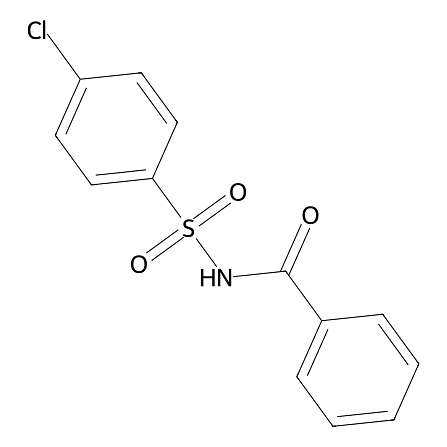 O=C(NS(=O)(=O)c1ccc(Cl)cc1)c1ccccc1